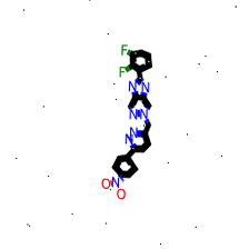 O=[N+]([O-])c1ccc(-c2ccc(Cn3cc4nc(-c5cccc(F)c5F)nc-4cn3)nn2)cc1